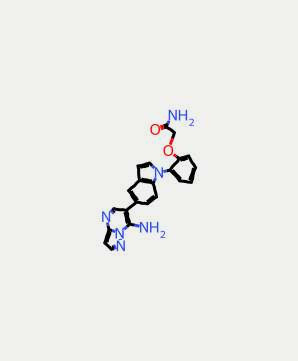 NC(=O)COc1ccccc1-n1ccc2cc(-c3cnc4ccnn4c3N)ccc21